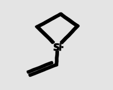 C=C[Si]1CCC1